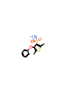 Cc1sc(C)c(S(N)(=O)=O)c1Oc1ccccc1